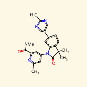 CNC(=O)c1cc(N2C(=O)C(C)(C)c3ccc(-c4cnc(C)nc4)cc32)cc(C)n1